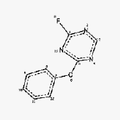 Fc1n[c]nc(Oc2ccccc2)n1